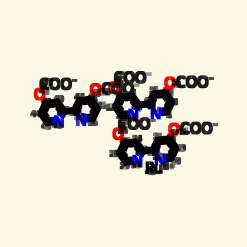 O=C([O-])Oc1ccnc(-c2cc(OC(=O)[O-])ccn2)c1.O=C([O-])Oc1ccnc(-c2cc(OC(=O)[O-])ccn2)c1.O=C([O-])Oc1ccnc(-c2cc(OC(=O)[O-])ccn2)c1.[Ru+6]